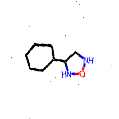 C1CCC(C2CNON2)CC1